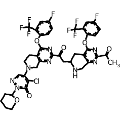 CC(=O)c1nc2c(c(Oc3ccc(F)cc3C(F)(F)F)n1)CC(CC(=O)c1nc3c(c(Oc4ccc(F)cc4C(F)(F)F)n1)CCN(c1cnn(C4CCCCO4)c(=O)c1Cl)C3)NC2